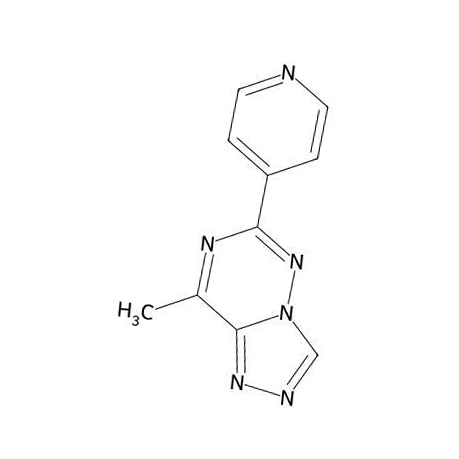 Cc1nc(-c2ccncc2)nn2cnnc12